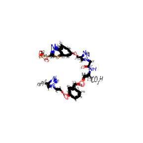 CCCc1cn(CCOc2cccc(COC[C@@H](NC(=O)Cn3cc(COc4ccc5nc([SH](=O)=O)sc5c4)nn3)C(=O)O)c2)nn1